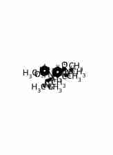 COc1cccc(N(c2ccc(C(=O)N(C(C)C)C(C)C)cc2)C(C)CN(C)C)c1